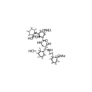 CCNc1cc(C(=O)N[C@@H](Cc2ccccc2)[C@@H](O)CNCCc2ccccc2OC)cc(N2CCCCS2(O)O)c1.Cl